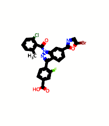 Cc1cccc(Cl)c1C(=O)n1nc(-c2ccc(C(=O)O)cc2F)c2ccc(-c3ncc(Br)o3)cc21